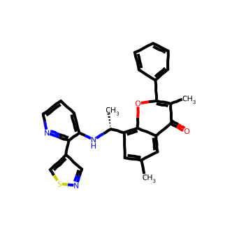 Cc1cc([C@@H](C)Nc2cccnc2-c2cnsc2)c2oc(-c3ccccc3)c(C)c(=O)c2c1